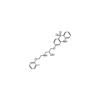 Cc1ccccc1OCCNCC(O)COc1ccc2c(c1)Nc1ccccc1S2(=O)=O